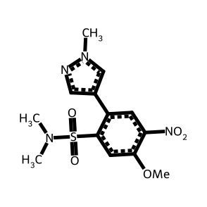 COc1cc(S(=O)(=O)N(C)C)c(-c2cnn(C)c2)cc1[N+](=O)[O-]